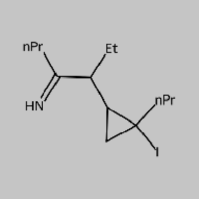 CCCC(=N)C(CC)C1CC1(I)CCC